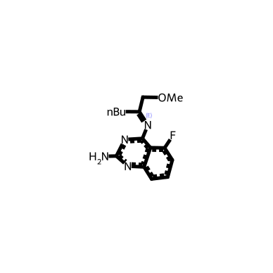 CCCC/C(COC)=N\c1nc(N)nc2cccc(F)c12